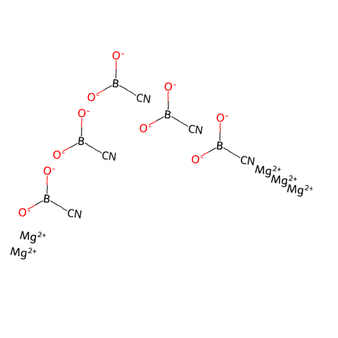 N#CB([O-])[O-].N#CB([O-])[O-].N#CB([O-])[O-].N#CB([O-])[O-].N#CB([O-])[O-].[Mg+2].[Mg+2].[Mg+2].[Mg+2].[Mg+2]